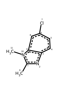 Cc1nc2ccc(Cl)cc2n1C